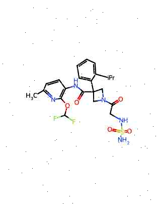 Cc1ccc(NC(=O)C2(c3ccccc3C(C)C)CN(C(=O)CNS(N)(=O)=O)C2)c(OC(F)F)n1